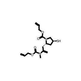 C=CCOC(=O)N(C)C(=C)C[C@H]1C[C@H](S)CN1C(=O)OCC=C